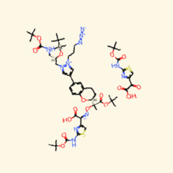 CC(C)(C)OC(=O)NC[C@@H](Cn1cc(-c2ccc3c(c2)CC[C@H](C(C)(O/N=C(\C(=O)O)c2csc(NC(=O)OC(C)(C)C)n2)C(=O)OC(C)(C)C)O3)c[n+]1CCCN=[N+]=[N-])O[Si](C)(C)C(C)(C)C.CC(C)(C)OC(=O)Nc1nc(C(=O)C(=O)O)cs1